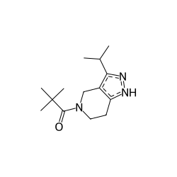 CC(C)c1n[nH]c2c1CN(C(=O)C(C)(C)C)CC2